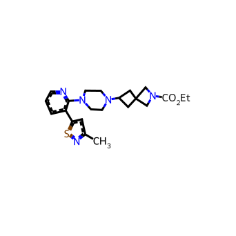 CCOC(=O)N1CC2(CC(N3CCN(c4ncccc4-c4cc(C)ns4)CC3)C2)C1